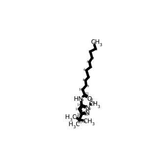 CCCCCCCCCCCC(=O)Nc1cc(C(C)(C)C)nn1C